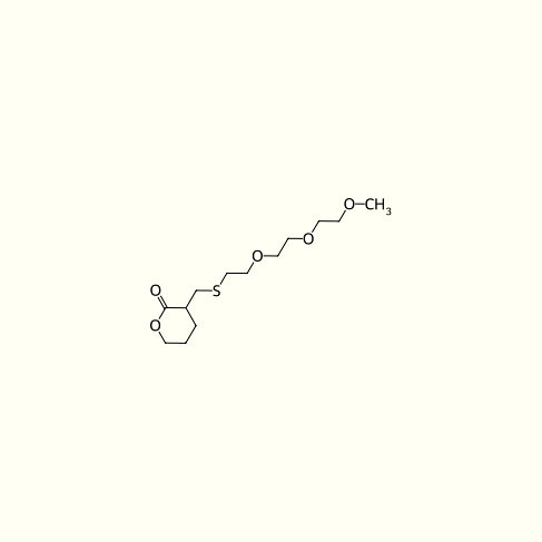 COCCOCCOCCSCC1CCCOC1=O